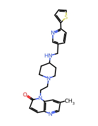 Cc1cnc2ccc(=O)n(CCN3CCC(NCc4ccc(-c5cccs5)nc4)CC3)c2c1